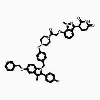 Cc1c(-c2ccc(F)cc2)n(Cc2ccc(ON3CCN(C(=O)COc4cccc5c(C6CCC(=O)NC6=O)nn(C)c45)CC3)cc2)c2ccc(OCc3ccccc3)cc12